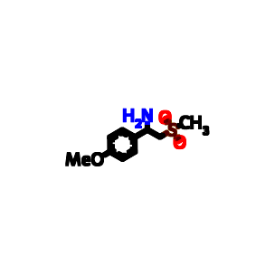 COc1ccc(C(N)CS(C)(=O)=O)cc1